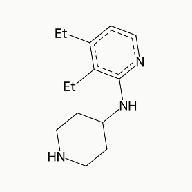 CCc1ccnc(NC2CCNCC2)c1CC